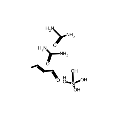 CC=CC=O.NC(N)=O.NC(N)=O.O[Si](O)(O)O